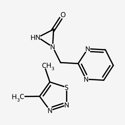 Cc1nnsc1C.O=C1NN1Cc1ncccn1